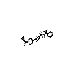 O=C(NC1(C2CCCCC2)CC1)c1csc(C2CCN(C(=O)C3CC3)CC2)n1